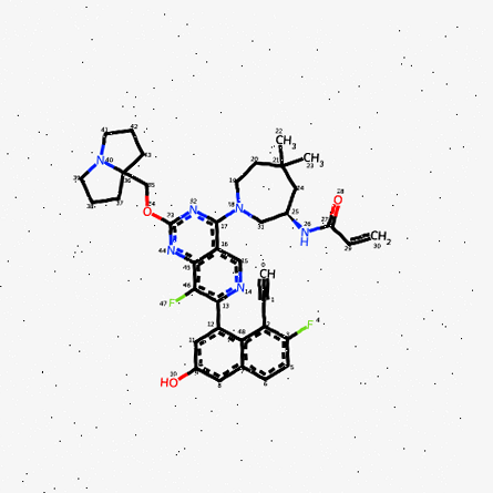 C#Cc1c(F)ccc2cc(O)cc(-c3ncc4c(N5CCC(C)(C)C[C@@H](NC(=O)C=C)C5)nc(OCC56CCCN5CCC6)nc4c3F)c12